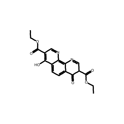 CCOC(=O)c1cnc2c3c(ccc2c1O)C(=O)C(C(=O)OCC)C=N3